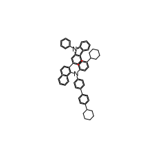 c1ccc(-n2c3ccccc3c3ccc(-c4ccc5ccccc5c4N(c4ccc(-c5ccc(C6CCCCC6)cc5)cc4)c4ccc(C5CCCCC5)cc4)cc32)cc1